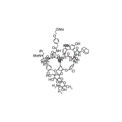 CN[C@H](CC(C)C)C(=O)N[C@H]1C(=O)N[C@@H](CC(=O)NC(=O)Cc2ccc(OCCOC)cc2)C(=O)N[C@H]2C(=O)N[C@H]3C(=O)N[C@H](C(=O)N[C@H](C(=O)NC4C5CC6CC(C5)CC4C6)c4cc(O)cc(O)c4-c4cc3ccc4O)[C@H](O)c3ccc(c(Cl)c3)Oc3cc2cc(c3O[C@@H]2O[C@H](CO)[C@@H](O)[C@H](O)[C@H]2O[C@H]2C[C@](C)(N)[C@H](O)[C@H](C)O2)Oc2ccc(cc2Cl)[C@H]1O